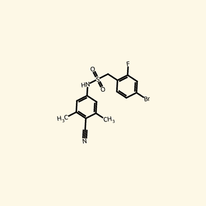 Cc1cc(NS(=O)(=O)Cc2ccc(Br)cc2F)cc(C)c1C#N